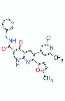 Cc1cc(-c2cc3c(=O)c(C(=O)NCc4ccccc4)c[nH]c3nc2-c2ccc(C)o2)cc(Cl)n1